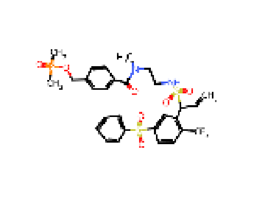 C=CC(c1cc(S(=O)(=O)c2ccccc2)ccc1C(F)(F)F)S(=O)(=O)NCCN(C)C(=O)c1ccc(COP(C)(C)=O)cc1